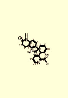 CNC(=O)C1(c2ccc3c(c2)CCC(=O)N3)C=CC=CC1c1cccnc1C(C)=O